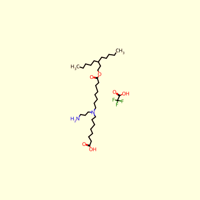 CCCCCC(CCCCC)CCOC(=O)CCCCCCCN(CCCN)CCCCCCCC(=O)O.O=C(O)C(F)(F)F